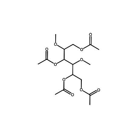 COC(COC(C)=O)C(OC(C)=O)C(OC)C(COC(C)=O)OC(C)=O